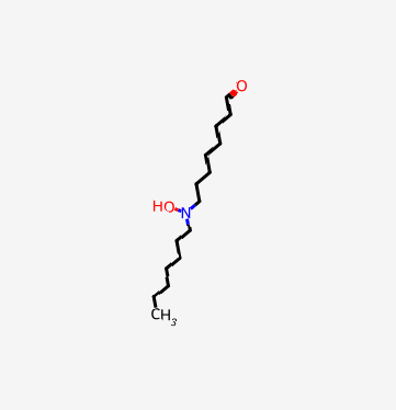 CCCCCCCN(O)CCCCCCCC=O